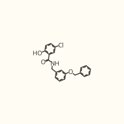 O=C(NCc1cccc(OCc2ccccc2)c1)c1cc(Cl)ccc1O